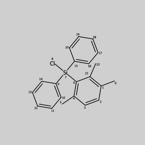 Cc1ccc(C)c([Si](Cl)(c2ccccc2)c2ccccc2)c1C